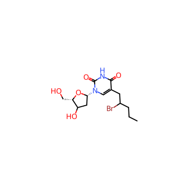 CCCC(Br)Cc1cn([C@@H]2CC(O)[C@H](CO)O2)c(=O)[nH]c1=O